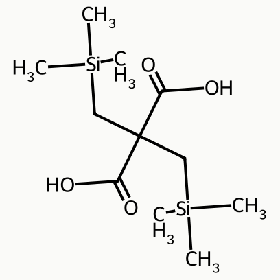 C[Si](C)(C)CC(C[Si](C)(C)C)(C(=O)O)C(=O)O